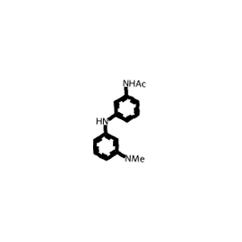 CNc1cccc(Nc2cccc(NC(C)=O)c2)c1